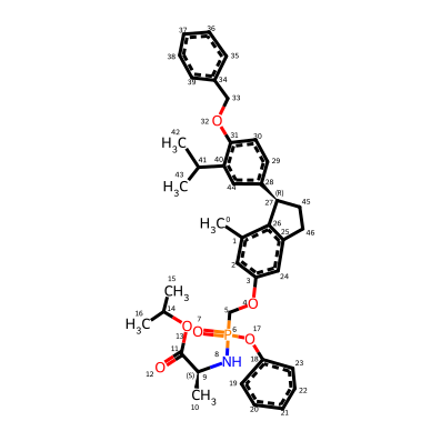 Cc1cc(OCP(=O)(N[C@@H](C)C(=O)OC(C)C)Oc2ccccc2)cc2c1[C@@H](c1ccc(OCc3ccccc3)c(C(C)C)c1)CC2